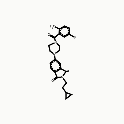 CC1c2cc(N3CCN(C(=O)c4cc(F)ccc4C(F)(F)F)CC3)ccc2C(=O)N1CCC1CC1